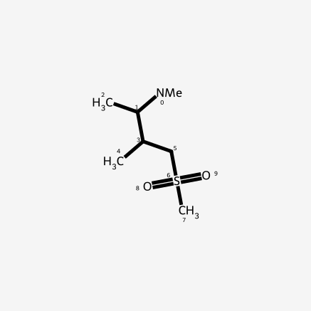 CNC(C)C(C)CS(C)(=O)=O